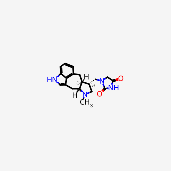 CN1C[C@@H](CN2CC(=O)NC2=O)[C@@H]2Cc3cccc4[nH]cc(c34)C[C@H]21